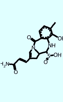 Cc1ccc2c(c1O)NC(S(=O)O)C1CC(C=CC(N)=O)=CN1C2=O